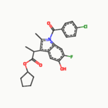 Cc1c(C(C)C(=O)OC2CCCC2)c2cc(O)c(F)cc2n1C(=O)c1ccc(Cl)cc1